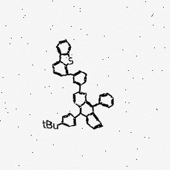 CC(C)(C)c1ccc(-c2c3ccccc3c(-c3ccccc3)c3cc(-c4cccc(-c5cccc6c5sc5ccccc56)c4)ccc23)cc1